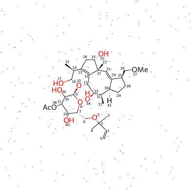 C=CC(C)(C)OC[C@H]1O[C@H](O[C@@H]2C3=C([C@H](C)CO)C[C@H](O)[C@]3(C)/C=C3/[C@@H](COC)CC[C@H]3[C@@H](C)[C@H]2O)C(O)C(OC(C)=O)C1O